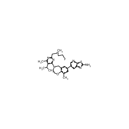 Cc1cc(-c2cnc3sc(N)nc3c2)cc2c1OCCN(c1nc(CN(C)CCF)nc(C)c1C(C)C)C2